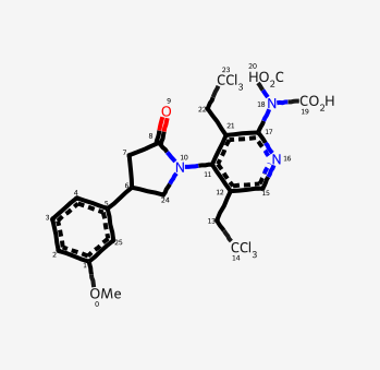 COc1cccc(C2CC(=O)N(c3c(CC(Cl)(Cl)Cl)cnc(N(C(=O)O)C(=O)O)c3CC(Cl)(Cl)Cl)C2)c1